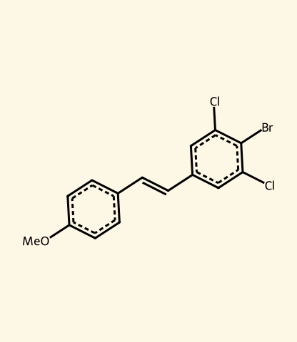 COc1ccc(/C=C/c2cc(Cl)c(Br)c(Cl)c2)cc1